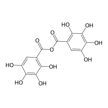 O=C(OC(=O)c1cc(O)c(O)c(O)c1O)c1cc(O)c(O)c(O)c1O